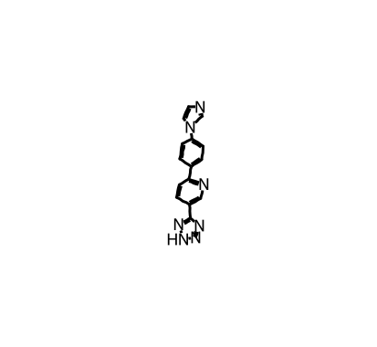 c1cn(-c2ccc(-c3ccc(-c4nn[nH]n4)cn3)cc2)cn1